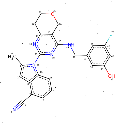 Cc1cc2c(C#N)cccc2n1-c1nc2c(c(NCc3cc(O)cc(F)c3)n1)COCC2